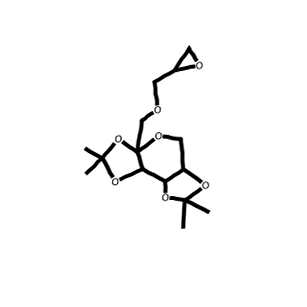 CC1(C)OC2COC3(COCC4CO4)OC(C)(C)OC3C2O1